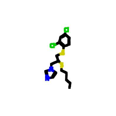 CCCCCSC(CSc1ccc(Cl)cc1Cl)Cn1ccnc1